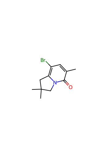 Cc1cc(Br)c2n(c1=O)CC(C)(C)C2